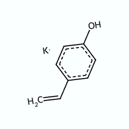 C=Cc1ccc(O)cc1.[K]